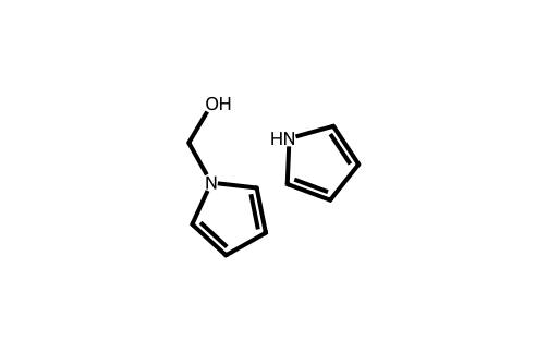 OCn1cccc1.c1cc[nH]c1